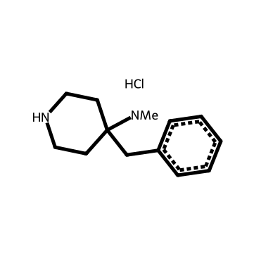 CNC1(Cc2ccccc2)CCNCC1.Cl